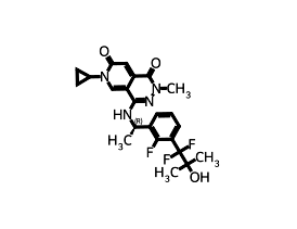 C[C@@H](Nc1nn(C)c(=O)c2cc(=O)n(C3CC3)cc12)c1cccc(C(F)(F)C(C)(C)O)c1F